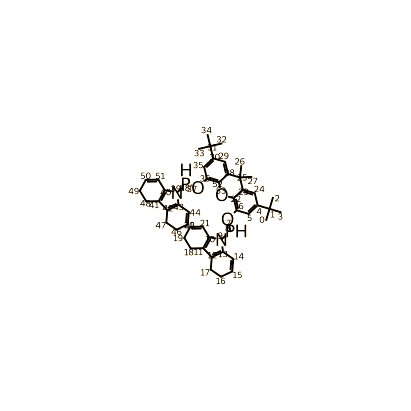 CC(C)(C)c1cc(OPn2c3c(c4c2C=CCC4)CCC=C3)c2c(c1)C(C)(C)c1cc(C(C)(C)C)cc(OPn3c4c(c5c3C=CCC5)CCC=C4)c1O2